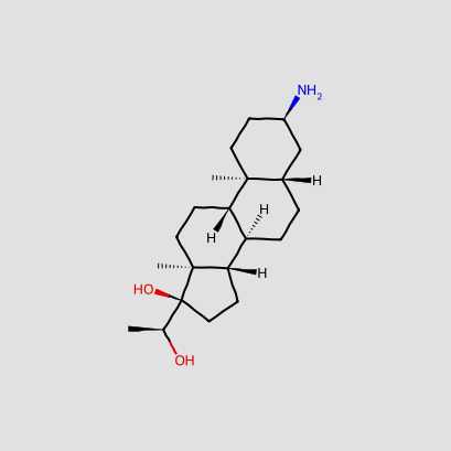 C[C@H](O)[C@@]1(O)CC[C@H]2[C@@H]3CC[C@H]4C[C@H](N)CC[C@]4(C)[C@H]3CC[C@@]21C